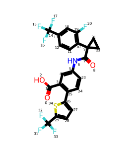 O=C(O)c1cc(NC(=O)C2(c3ccc(C(F)(F)F)cc3F)CC2)ccc1-c1ccc(C(F)(F)F)s1